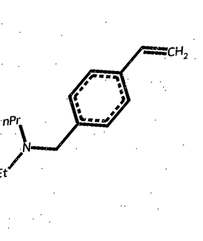 C=Cc1ccc(CN(CC)CCC)cc1